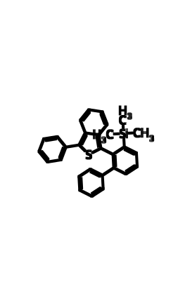 C[Si](C)(C)c1cccc(-c2ccccc2)c1-c1sc(-c2ccccc2)c2ccccc12